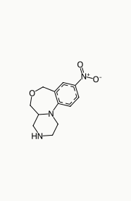 O=[N+]([O-])c1ccc2c(c1)COCC1CNCCN21